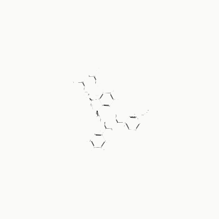 CC(=O)Cl.CC(=O)OC(C)=O.O=C(OC(=O)c1ccccc1)c1ccccc1.O=C1OC(=O)c2ccccc21